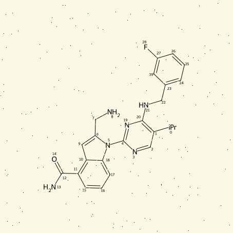 CC(C)c1cnc(-n2c(CN)cc3c(C(N)=O)cccc32)nc1NCc1cccc(F)c1